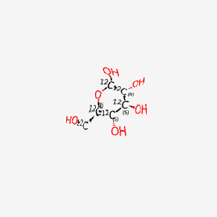 O[12CH2][12C@H]1O[12CH](O)[12C@H](O)[12C@@H](O)[12C@@H]1O